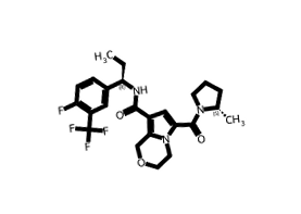 CC[C@@H](NC(=O)c1cc(C(=O)N2CCC[C@@H]2C)n2c1COCC2)c1ccc(F)c(C(F)(F)F)c1